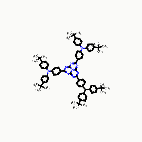 CC(C)(C)c1ccc(C(c2ccc(C3=NC4=NC(c5ccc(N(c6ccc(C(C)(C)C)cc6)c6ccc(C(C)(C)C)cc6)cc5)=NC5=NC(c6ccc(N(c7ccc(C(C)(C)C)cc7)c7ccc(C(C)(C)C)cc7)cc6)=NC(=N3)N45)cc2)c2ccc(C(C)(C)C)cc2)cc1